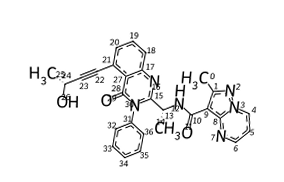 Cc1nn2cccnc2c1C(=O)N[C@H](C)c1nc2cccc(C#C[C@@H](C)O)c2c(=O)n1-c1ccccc1